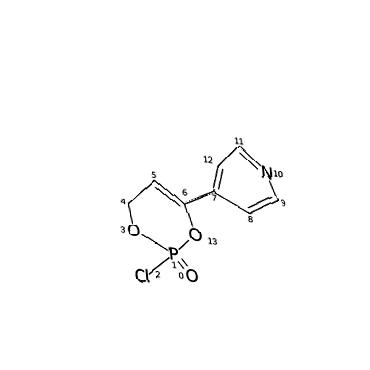 O=P1(Cl)OCC=C(c2ccncc2)O1